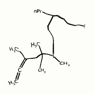 C=C=C(C)C(C)(C)I(C)CCC(CCC)CCI